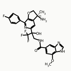 COc1cc(C(=O)NCC(O)(c2cc3c(c(-c4ccc(F)cc4)n2)OC[C@@]3(C)N)C(F)(F)F)cc2nc[nH]c12